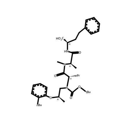 CCCCc1ccccc1O[C@H](C)CN(C(=O)OC(C)(C)C)[C@@H](CCC)C(=O)N(C)[C@H](C)C(=O)N[C@H](CCc1ccccc1)C(=O)O